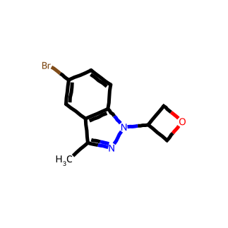 Cc1nn(C2COC2)c2ccc(Br)cc12